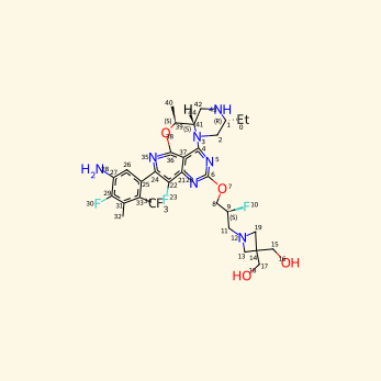 CC[C@@H]1CN2c3nc(OC[C@@H](F)CN4CC(CO)(CO)C4)nc4c(F)c(-c5cc(N)c(F)c(C)c5C(F)(F)F)nc(c34)O[C@@H](C)[C@@H]2CN1